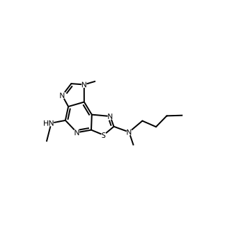 CCCCN(C)c1nc2c(nc(NC)c3ncn(C)c32)s1